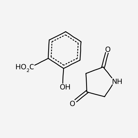 O=C(O)c1ccccc1O.O=C1CNC(=O)C1